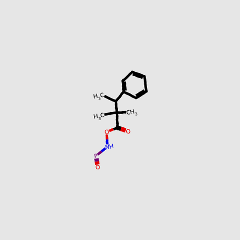 CC(c1ccccc1)C(C)(C)C(=O)ONP=O